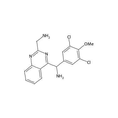 COc1c(Cl)cc(C(N)c2nc(CN)nc3ccccc23)cc1Cl